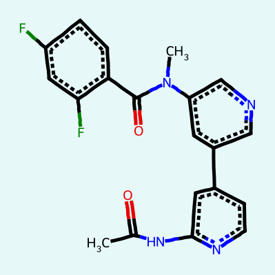 CC(=O)Nc1cc(-c2cncc(N(C)C(=O)c3ccc(F)cc3F)c2)ccn1